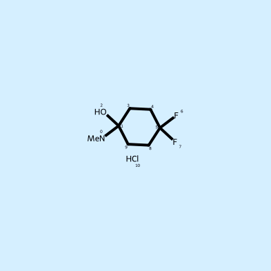 CNC1(O)CCC(F)(F)CC1.Cl